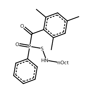 CCCCCCCCNSP(=O)(C(=O)c1c(C)cc(C)cc1C)c1ccccc1